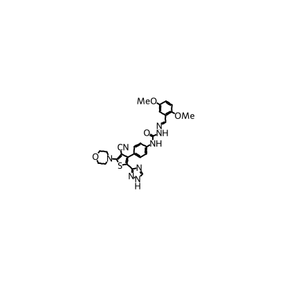 COc1ccc(OC)c(/C=N/NC(=O)Nc2ccc(-c3c(-c4nc[nH]n4)sc(N4CCOCC4)c3C#N)cc2)c1